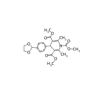 COC(=O)C1=C(C)N(C(=O)OC)C(C)=C(C(=O)OC)C1c1ccc(C2OCCO2)cc1